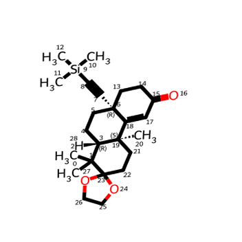 CC1(C)[C@@H]2CC[C@@]3(C#C[Si](C)(C)C)CCC(=O)C=C3[C@@]2(C)CCC12OCCO2